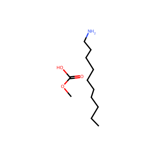 CCCCCCCCCCN.COC(=O)O